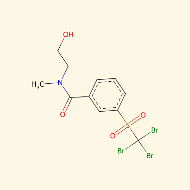 CN(CCO)C(=O)c1cccc(S(=O)(=O)C(Br)(Br)Br)c1